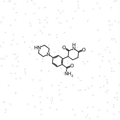 NC(=O)c1ccc(N2CCNCC2)cc1C1CCC(=O)NC1=O